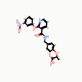 CC(Oc1ccc(CNC(=O)c2cccnc2Oc2cccc([N+](=O)[O-])c2)cc1)C(=O)O